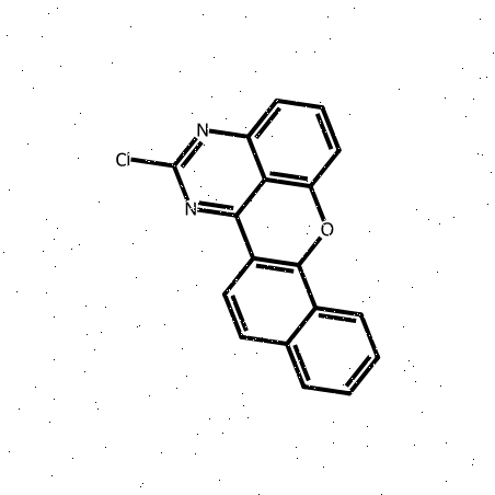 Clc1nc2c3c(cccc3n1)Oc1c-2ccc2ccccc12